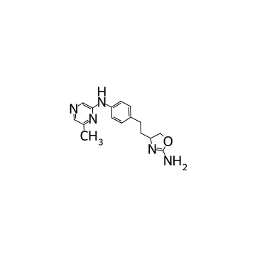 Cc1cncc(Nc2ccc(CCC3COC(N)=N3)cc2)n1